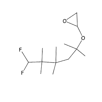 CC(C)(CC(C)(C)C(C)(C)C(F)F)OC1CO1